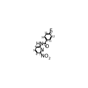 O=C(Nc1cccc([N+](=O)[O-])n1)c1ccc(F)cc1